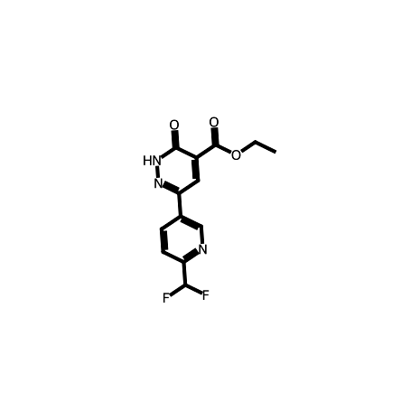 CCOC(=O)c1cc(-c2ccc(C(F)F)nc2)n[nH]c1=O